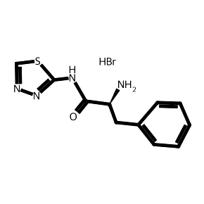 Br.N[C@@H](Cc1ccccc1)C(=O)Nc1nncs1